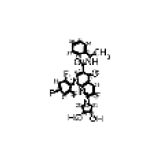 CC(NC(=O)c1cn(-c2c(F)cc(F)cc2F)c2nc(N3C[C@@H](O)[C@H](O)C3)c(F)cc2c1=O)c1ccccc1